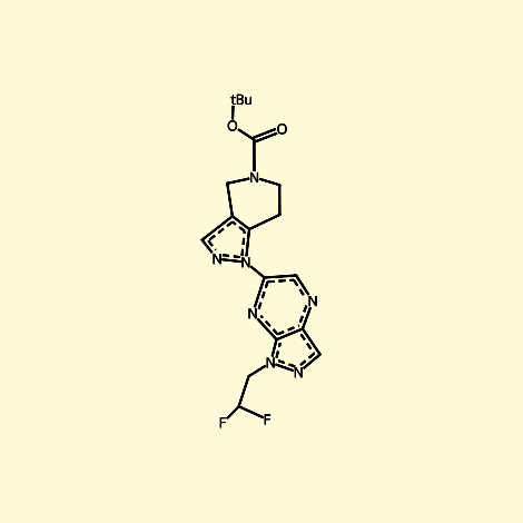 CC(C)(C)OC(=O)N1CCc2c(cnn2-c2cnc3cnn(CC(F)F)c3n2)C1